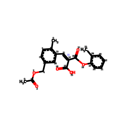 CC(=O)OCc1ccc(C)c(/C=C(\C(=O)O)C(=O)Oc2ccccc2C)c1